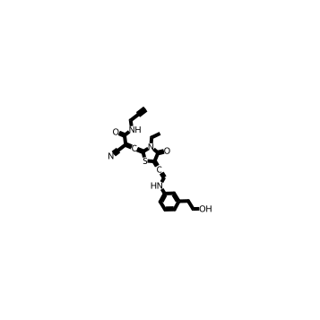 C#CCNC(=O)C(=C=c1sc(=C=CNc2cccc(CCO)c2)c(=O)n1CC)C#N